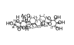 CC(=O)O[C@@H]1C[C@@]23C[C@@]24CC[C@H](O[C@@H]2OC[C@@H](O)[C@H](O)[C@H]2O)C(C)(C)[C@@H]4CC=C3[C@]2(C)C[C@@H]3O[C@]4(O[C@H]4C(C)(C)O)[C@H](O)[C@@H](C)[C@@H]3[C@@]12C